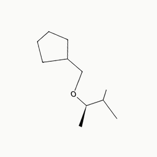 CC(C)[C@@H](C)OCC1CCCC1